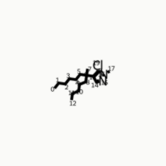 CCCCCCC(C)(CCCCC)c1cnn(C)c1Cl